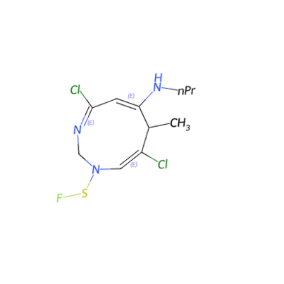 CCCN/C1=C/C(Cl)=N\CN(SF)/C=C(/Cl)C1C